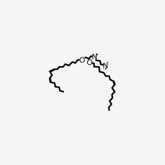 CCCCC/C=C\C/C=C\CCCCCCCCOCC(CN(C)CCCN(C)C)OCCCCCCCC/C=C\CCCCCCCC